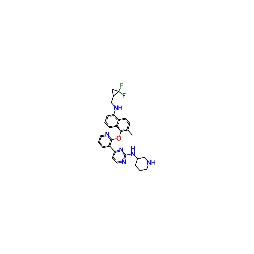 Cc1ccc2c(NCC3CC3(F)F)cccc2c1Oc1ncccc1-c1ccnc(NC2CCCNC2)n1